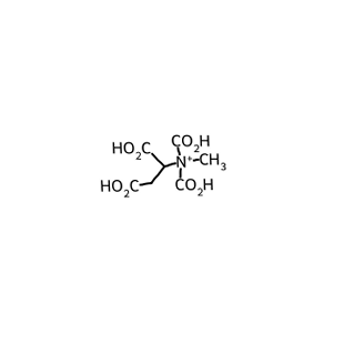 C[N+](C(=O)O)(C(=O)O)C(CC(=O)O)C(=O)O